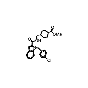 COC(=O)[C@H]1CC[C@H](CNC(=O)c2cc3ccccc3n2Cc2ccc(Cl)cc2)CC1